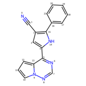 N#Cc1cc(-c2ncnn3cccc23)[nH]c1-c1ccccc1